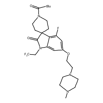 CN1CCN(CCOc2cc(F)c3c(c2)N(CC(F)(F)F)C(=O)C32CCN(C(=O)C(C)(C)C)CC2)CC1